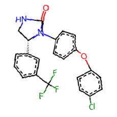 O=C1NC[C@@H](c2cccc(C(F)(F)F)c2)N1c1ccc(Oc2ccc(Cl)cc2)cc1